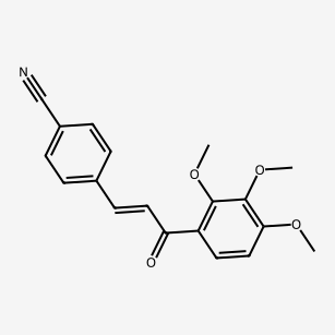 COc1ccc(C(=O)C=Cc2ccc(C#N)cc2)c(OC)c1OC